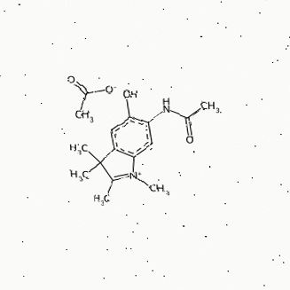 CC(=O)Nc1cc2c(cc1O)C(C)(C)C(C)=[N+]2C.CC(=O)[O-]